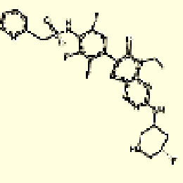 CCn1c(=O)c(-c2cc(F)c(NS(=O)(=O)Cc3ccccn3)c(F)c2F)cc2cnc(N[C@@H]3CNC[C@@H](F)C3)nc21